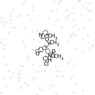 COC(=O)C1(Nc2cccc(Cl)c2)CCC2(CC1)c1cc3c(cc1C[C@@H]2C[C@@H](C)COc1ccnc2c1[C@H](C)CCC2)CCO3